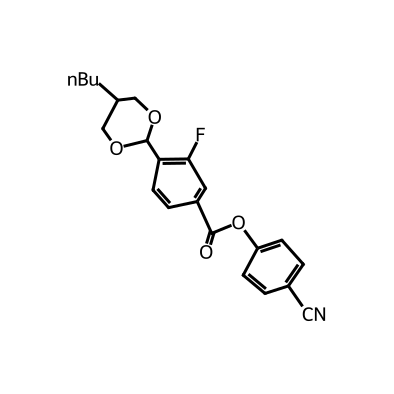 CCCCC1COC(c2ccc(C(=O)Oc3ccc(C#N)cc3)cc2F)OC1